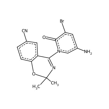 CC1(C)N=C(n2cc(N)cc(Br)c2=O)c2cc(C#N)ccc2O1